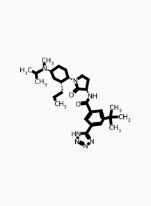 CCC[C@@H]1C[C@H](N(C)C(C)C)CC[C@@H]1N1CC[C@H](NC(=O)c2cc(-c3nnn[nH]3)cc(C(C)(C)C)c2)C1=O